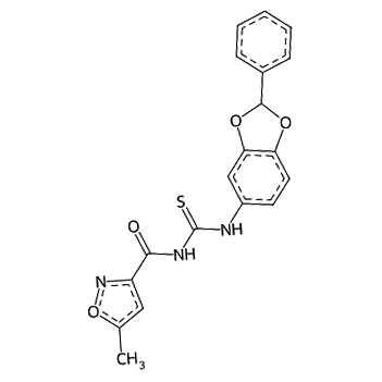 Cc1cc(C(=O)NC(=S)Nc2ccc3c(c2)OC(c2ccccc2)O3)no1